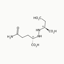 NC(=O)CC[C@H](NN[C@@H](CC(=O)O)C(=O)O)C(=O)O